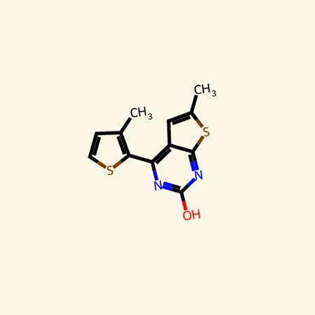 Cc1cc2c(-c3sccc3C)nc(O)nc2s1